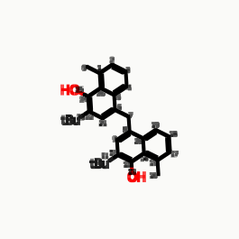 Cc1cccc2c(Cc3cc(C(C)(C)C)c(O)c4c(C)cccc34)cc(C(C)(C)C)c(O)c12